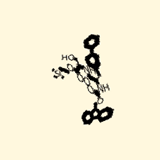 C[Si](C)(C)CCOC(=O)[C@@H](CO)NC(=O)[C@H](Cc1ccc(-c2ccccc2)cc1)NC(=O)OCC1c2ccccc2-c2ccccc21